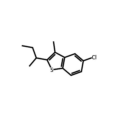 CCC(C)c1sc2ccc(Cl)cc2c1C